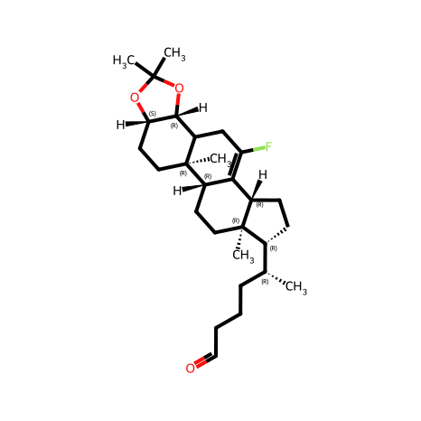 C[C@H](CCCC=O)[C@H]1CC[C@H]2C3=C(F)CC4[C@H]5OC(C)(C)O[C@H]5CC[C@]4(C)[C@H]3CC[C@]12C